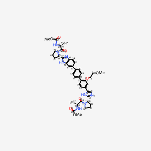 COCCOc1cc(-c2cnc([C@@H]3CCCN3C(=O)[C@@H](NC(=O)OC)C(C)C)[nH]2)ccc1-c1ccc(-c2ccc3nc([C@@H]4CCCN4C(=O)[C@@H](NC(=O)OC)C(C)C)[nH]c3c2)cc1